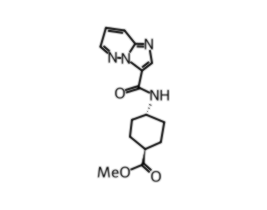 COC(=O)[C@H]1CC[C@H](NC(=O)c2cnc3cccnn23)CC1